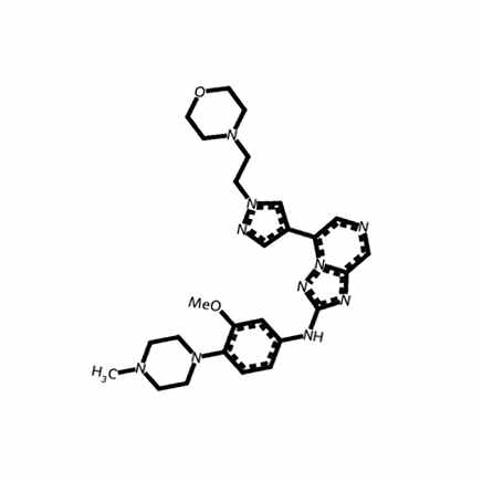 COc1cc(Nc2nc3cncc(-c4cnn(CCN5CCOCC5)c4)n3n2)ccc1N1CCN(C)CC1